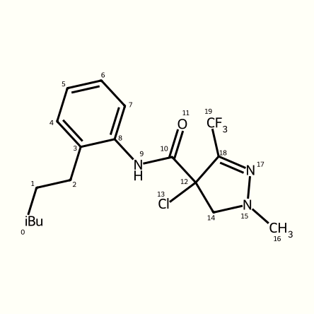 CCC(C)CCc1ccccc1NC(=O)C1(Cl)CN(C)N=C1C(F)(F)F